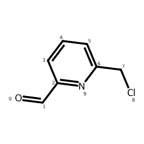 O=Cc1cccc(CCl)n1